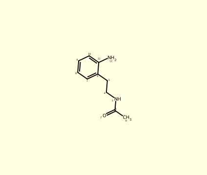 CC(=O)NCCc1ccccc1N